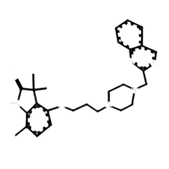 Cc1ccc(OCCCN2CCN(Cc3ncc4ccccc4n3)CC2)c2c1NC(=O)C2(C)C